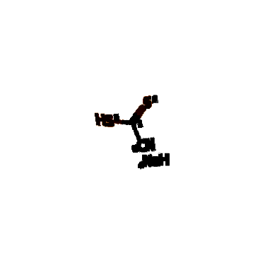 N#CC(=S)S.[NaH]